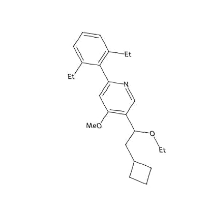 CCOC(CC1CCC1)c1cnc(-c2c(CC)cccc2CC)cc1OC